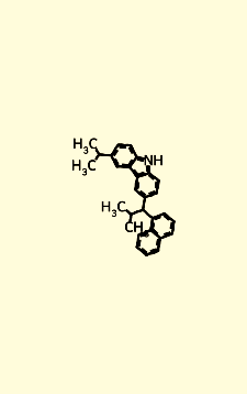 CC(C)c1ccc2[nH]c3ccc(C(c4cccc5ccccc45)C(C)C)cc3c2c1